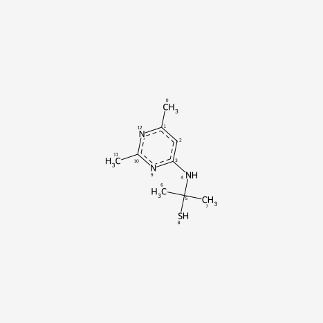 Cc1cc(NC(C)(C)S)nc(C)n1